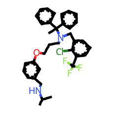 CC(C)NCc1cccc(OCCCN(Cc2cccc(C(F)(F)F)c2Cl)C(C)(c2ccccc2)c2ccccc2)c1